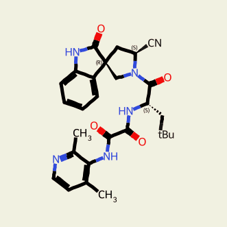 Cc1ccnc(C)c1NC(=O)C(=O)N[C@@H](CC(C)(C)C)C(=O)N1C[C@]2(C[C@H]1C#N)C(=O)Nc1ccccc12